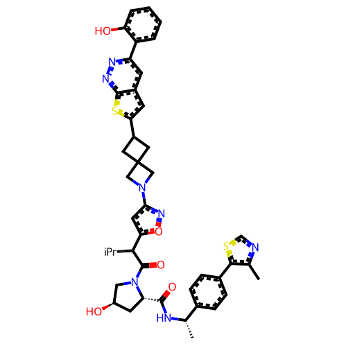 Cc1ncsc1-c1ccc([C@H](C)NC(=O)[C@@H]2C[C@@H](O)CN2C(=O)C(c2cc(N3CC4(CC(c5cc6cc(-c7ccccc7O)nnc6s5)C4)C3)no2)C(C)C)cc1